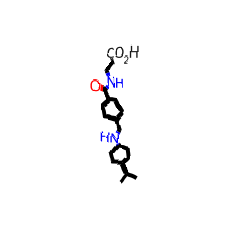 CC(C)=C1CCC(NCc2ccc(C(=O)NCCC(=O)O)cc2)CC1